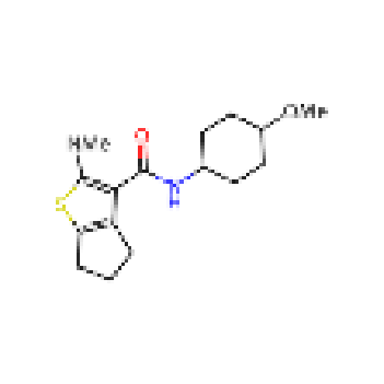 CNc1sc2c(c1C(=O)NC1CCC(OC)CC1)CCC2